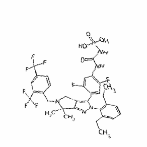 CCc1cccc(CC)c1-n1nc2c(c1-c1cc(F)c(NC(=O)NP(=O)(O)O)cc1F)CN(Cc1ccc(C(F)(F)F)cc1C(F)(F)F)C2(C)C